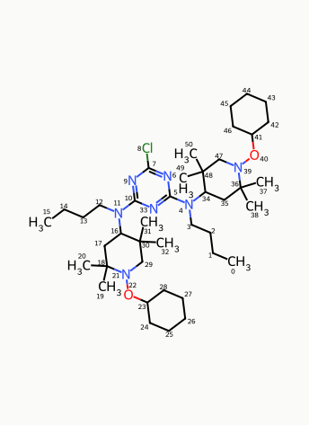 CCCCN(c1nc(Cl)nc(N(CCCC)C2CC(C)(C)N(OC3CCCCC3)CC2(C)C)n1)C1CC(C)(C)N(OC2CCCCC2)CC1(C)C